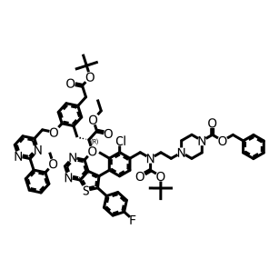 CCOC(=O)[C@@H](Cc1cc(CC(=O)OC(C)(C)C)ccc1OCc1ccnc(-c2ccccc2OC)n1)Oc1ncnc2sc(-c3ccc(F)cc3)c(-c3ccc(CN(CCN4CCN(C(=O)OCc5ccccc5)CC4)C(=O)OC(C)(C)C)c(Cl)c3C)c12